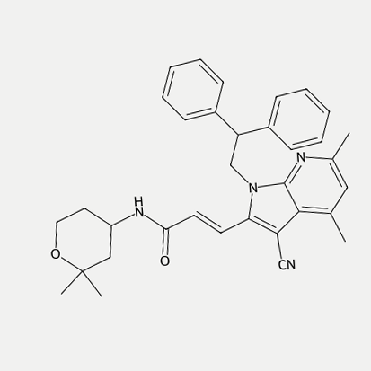 Cc1cc(C)c2c(C#N)c(C=CC(=O)NC3CCOC(C)(C)C3)n(CC(c3ccccc3)c3ccccc3)c2n1